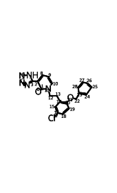 O=c1c(-c2nnn[nH]2)cccn1CCc1cc(Cl)ccc1OCc1ccccc1